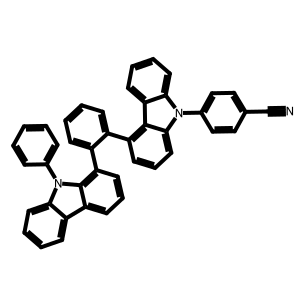 N#Cc1ccc(-n2c3ccccc3c3c(-c4ccccc4-c4cccc5c6ccccc6n(-c6ccccc6)c45)cccc32)cc1